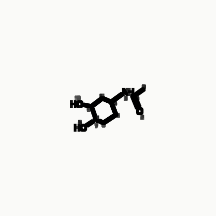 CC(=O)NC1CCN(O)C(O)C1